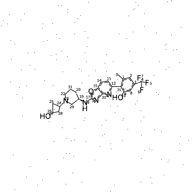 Cc1cc(C(F)(F)F)cc(O)c1-c1ccc2oc(N[C@@H]3CCCN(C4CC(O)C4)C3)nc2n1